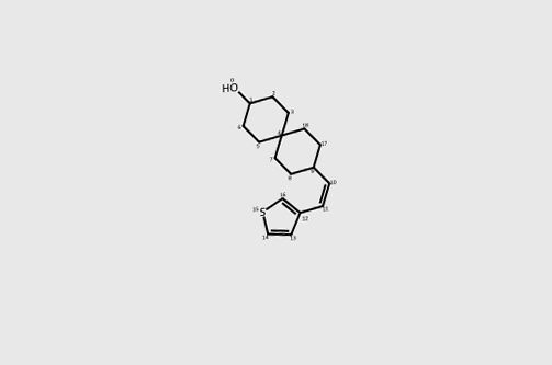 OC1CCC2(CC1)CCC(/C=C\c1ccsc1)CC2